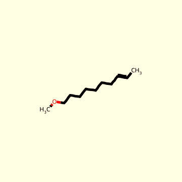 CC=CCCCCCCCOC